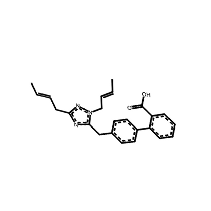 CC=CCc1nc(Cc2ccc(-c3ccccc3C(=O)O)cc2)n(CC=CC)n1